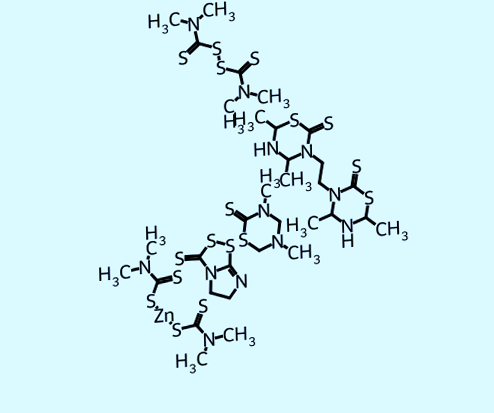 CC1NC(C)N(CCN2C(=S)SC(C)NC2C)C(=S)S1.CN(C)C(=S)SSC(=S)N(C)C.CN(C)C(=S)[S][Zn][S]C(=S)N(C)C.CN1CSC(=S)N(C)C1.S=C1SSC2=NCCN12